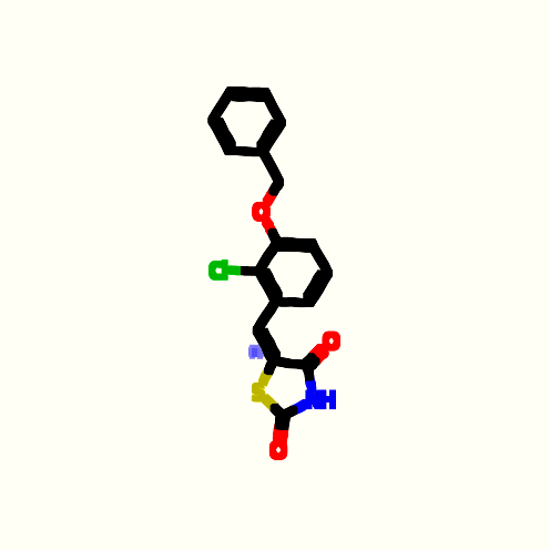 O=C1NC(=O)/C(=C\c2cccc(OCc3ccccc3)c2Cl)S1